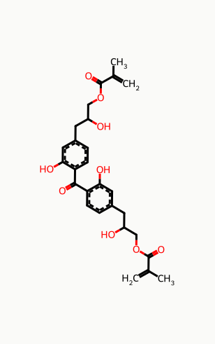 C=C(C)C(=O)OCC(O)Cc1ccc(C(=O)c2ccc(CC(O)COC(=O)C(=C)C)cc2O)c(O)c1